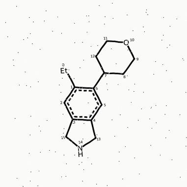 CCc1cc2c(cc1C1CCOCC1)CNC2